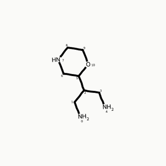 NCC(CN)C1CNCCO1